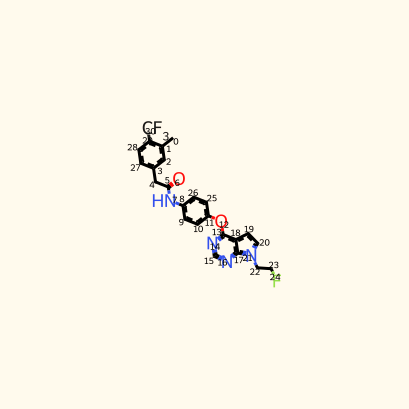 Cc1cc(CC(=O)Nc2ccc(Oc3ncnc4c3ccn4CCF)cc2)ccc1C(F)(F)F